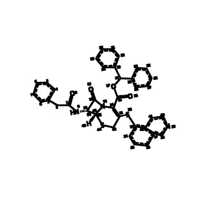 O=C(Cc1ccccc1)N[C@@H]1C(=O)N2C(C(=O)OC(c3ccccc3)c3ccccc3)=C(Sc3cccc4cnccc34)CS[C@H]12